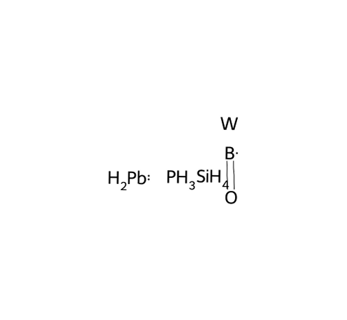 P.[B]=O.[PbH2].[SiH4].[W]